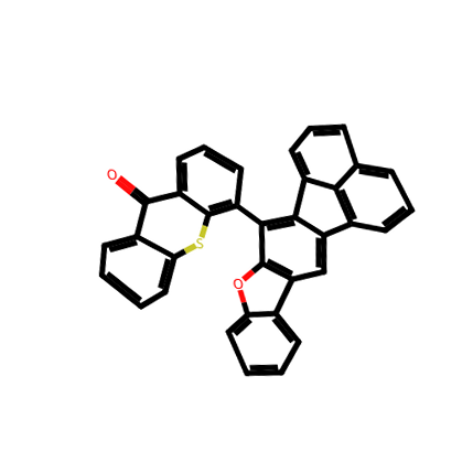 O=c1c2ccccc2sc2c(-c3c4c(cc5c3oc3ccccc35)-c3cccc5cccc-4c35)cccc12